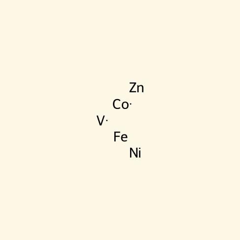 [Co].[Fe].[Ni].[V].[Zn]